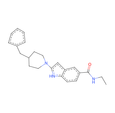 CCNC(=O)c1ccc2[nH]c(N3CCC(Cc4ccccc4)CC3)cc2c1